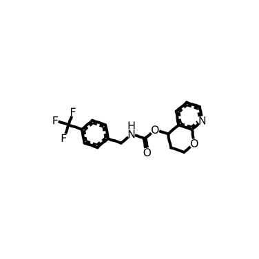 O=C(NCc1ccc(C(F)(F)F)cc1)OC1CCOc2ncccc21